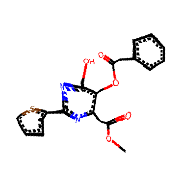 COC(=O)c1nc(-c2cccs2)nc(O)c1OC(=O)c1ccccc1